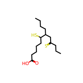 CCCCC(CC(=S)CCC)C(S)CCCCC(=O)O